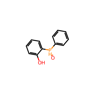 O=[PH](c1ccccc1)c1ccccc1O